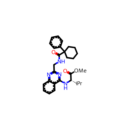 COC(=O)[C@@H](Nc1nc(CNC(=O)C2(c3ccccc3)CCCCC2)nc2ccccc12)C(C)C